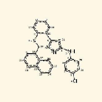 Clc1ccc(Nc2nnc(-c3ccccc3SCc3ccnc4ccccc34)s2)cc1